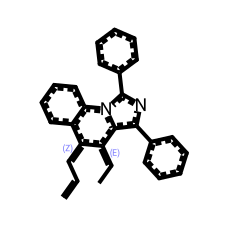 C=C/C=c1\c(=C/C)c2c(-c3ccccc3)nc(-c3ccccc3)n2c2ccccc12